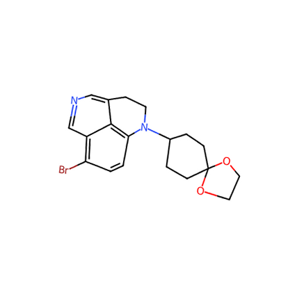 Brc1ccc2c3c(cncc13)CCN2C1CCC2(CC1)OCCO2